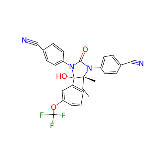 CC[C@@]1(C)N(c2ccc(C#N)cc2)C(=O)N(c2ccc(C#N)cc2)C1(O)c1cccc(OC(F)(F)F)c1